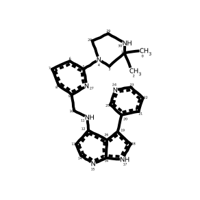 CC1(C)CN(c2cccc(CNc3ccnc4[nH]cc(-c5cccnc5)c34)n2)CCN1